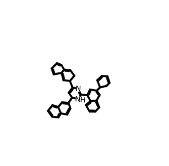 C1=CCC(c2cc(C3=NC(C4C=c5ccccc5=CC4)=CC(c4ccc5ccccc5c4)N3)c3ccccc3c2)C=C1